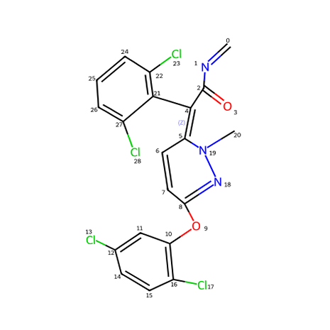 C=NC(=O)/C(=C1/C=CC(Oc2cc(Cl)ccc2Cl)=NN1C)c1c(Cl)cccc1Cl